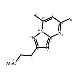 COCCc1nc2nc(C)cc(C)n2n1